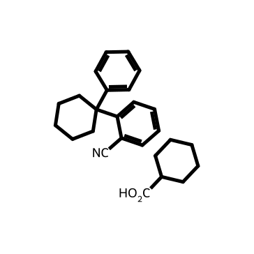 N#Cc1ccccc1C1(c2ccccc2)CCCCC1.O=C(O)C1CCCCC1